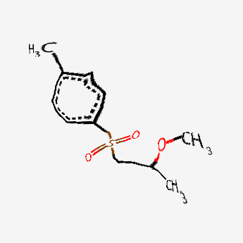 CO[C](C)CS(=O)(=O)c1ccc(C)cc1